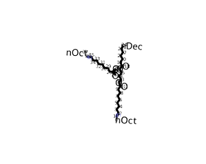 CCCCCCCC/C=C/CCCCCCCC(=O)OCC(COC(=O)CCCCCCCCCCCCCCC)OC(=O)CCCCCCC/C=C/CCCCCCCC